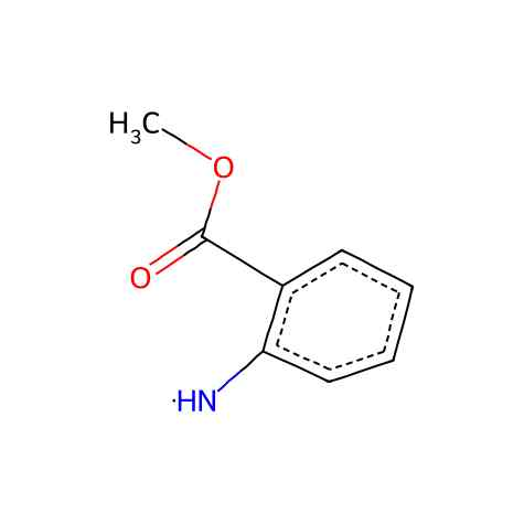 COC(=O)c1ccccc1[NH]